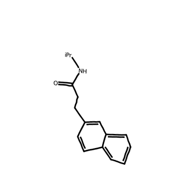 CC(C)NC(=O)CCc1ccc2ccccc2c1